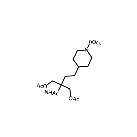 CCCCCCCCN1CCC(CCC(COC(C)=O)(COC(C)=O)NC(C)=O)CC1